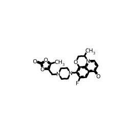 Cc1oc(=O)oc1CN1CCN(c2c(F)cc3c(=O)ccn4c3c2OCC4C)CC1